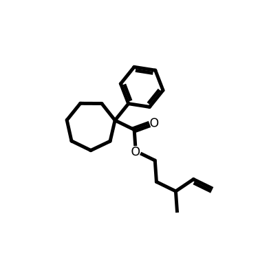 C=CC(C)CCOC(=O)C1(c2ccccc2)CCCCCC1